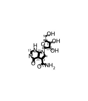 NC(=O)c1cn([C@@H]2O[C@H](CO)[C@@H](O)[C@H]2O)c2[nH]cnc(=O)c12